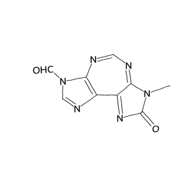 Cn1c2ncnc3c(ncn3C=O)c-2nc1=O